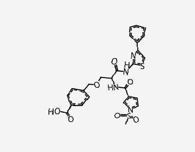 CS(=O)(=O)n1ccc(C(=O)NC(COCc2ccc(C(=O)O)cc2)C(=O)Nc2nc(-c3ccccc3)cs2)c1